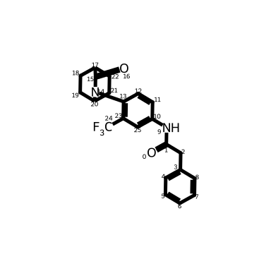 O=C(Cc1ccccc1)Nc1ccc(N2C(=O)C3CCC2CC3)c(C(F)(F)F)c1